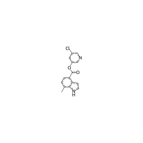 Cc1ccc(C(=O)Oc2cncc(Cl)c2)c2cc[nH]c12